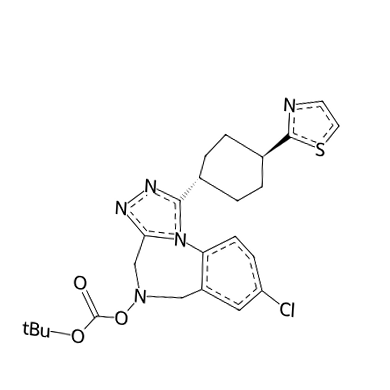 CC(C)(C)OC(=O)ON1Cc2cc(Cl)ccc2-n2c(nnc2[C@H]2CC[C@H](c3nccs3)CC2)C1